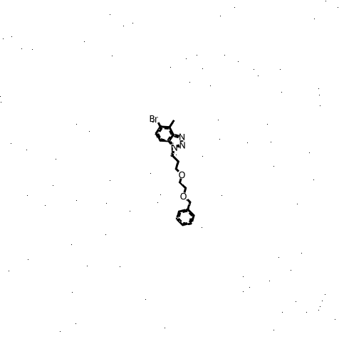 Cc1c(Br)ccc2c1nnn2CCCOCCOCc1ccccc1